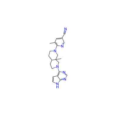 Cc1cc(C#N)cnc1N1CCC2CCN(c3ncnc4[nH]ccc34)CC2(C)C1